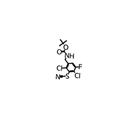 CC(C)(C)OC(=O)NCc1cc(F)c(Cl)c(SC#N)c1Cl